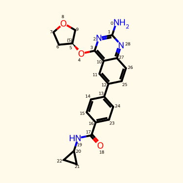 Nc1nc(O[C@H]2CCOC2)c2cc(-c3ccc(C(=O)NC4CC4)cc3)ccc2n1